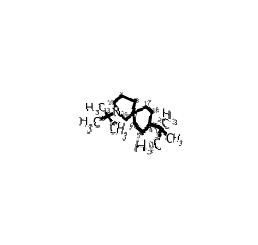 CC(C)(C)C1CCC2(CCCN(C(C)(C)C)C2)CC1